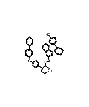 Oc1ccc(-c2ccccc2)cc1.c1ccc(-c2ccc(Oc3ncc(C4CCNCC4OCc4ccc5ccccc5c4)cn3)cc2)cc1